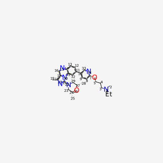 CCN(C)CCCOc1ccc(-c2ccc3ncc4c(C)nc(N5C[C@@H](C)O[C@@H](C)C5)n4c3c2)cn1